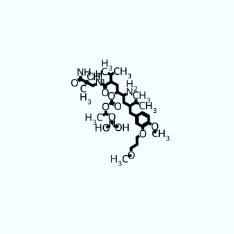 COCCCOc1cc(CC(CC(N)C(CC(C(=O)NCC(C)(C)C(N)=O)C(C)C)OC(=O)OC(C)ON(O)O)C(C)C)ccc1OC